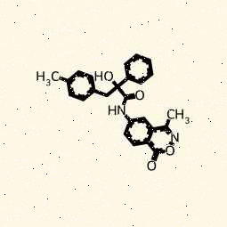 Cc1ccc(CC(O)(C(=O)Nc2ccc3c(=O)onc(C)c3c2)c2ccccc2)cc1